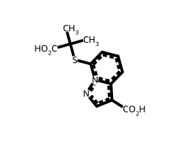 CC(C)(Sc1cccc2c(C(=O)O)cnn12)C(=O)O